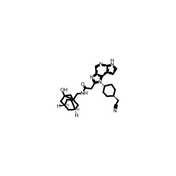 N#CC[C@H]1CC[C@H](n2c(CC(=O)NCC34C[C@@H]5C[C@@H](CC(O)(C5)C3)C4)nc3cnc4[nH]ccc4c32)CC1